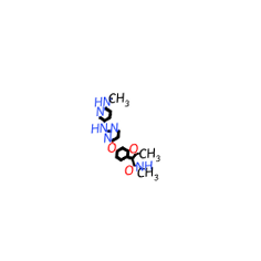 CNC(=O)c1c(C)oc2cc(Oc3ccnc(Nc4ccc(NC)nc4)n3)ccc12